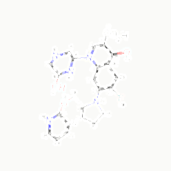 O=C(O)c1cn(-c2cncc(O)n2)c2cc(N3CCC[C@@H]3COc3ccccn3)c(F)cc2c1=O